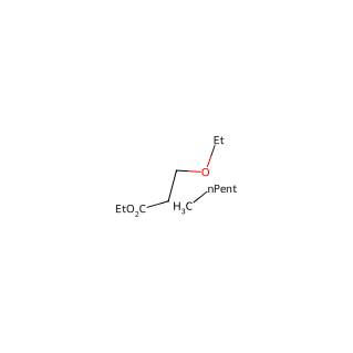 CCCCCC.CCOCCC(=O)OCC